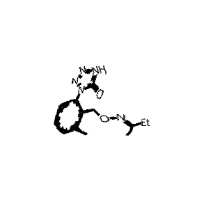 CCC(C)=NOCc1c(C)cccc1-n1nn[nH]c1=O